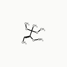 CC=C(O[SiH3])C(C)(OC)OC